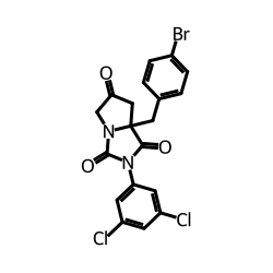 O=C1CN2C(=O)N(c3cc(Cl)cc(Cl)c3)C(=O)C2(Cc2ccc(Br)cc2)C1